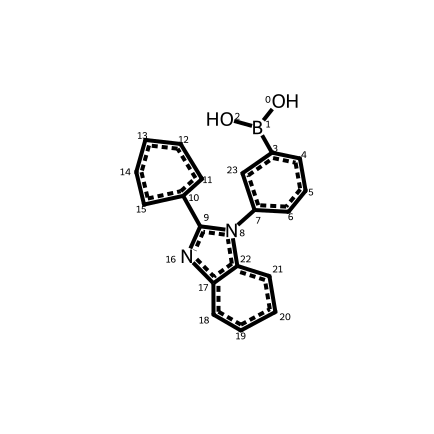 OB(O)c1cccc(-n2c(-c3ccccc3)nc3ccccc32)c1